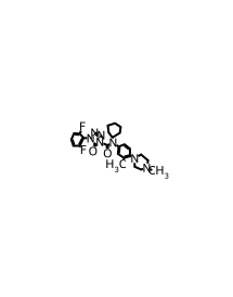 Cc1cc(N(C(=O)n2nnn(-c3c(F)cccc3F)c2=O)C2CCCCC2)ccc1N1CCN(C)CC1